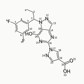 CCC(c1cc(F)cc(F)c1)n1ncc2nc(-n3cc(C(=O)O)cn3)nc(O)c21